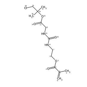 C=C(C)C(=O)OCCNC(=O)NCC(=O)OC(C)(C)CCl